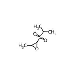 CC1OC1S(=O)(=O)C(C)C